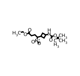 CCOC(=O)CCC(C1CC(NC(=O)OC(C)(C)C)C1)[N+](=O)[O-]